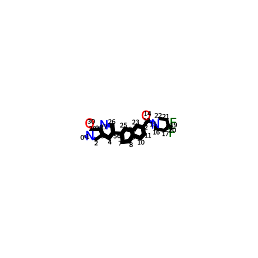 CN1Cc2cc(-c3ccc4ccc(C(=O)N5CCC(F)(F)CC5)cc4c3)cnc2C1=O